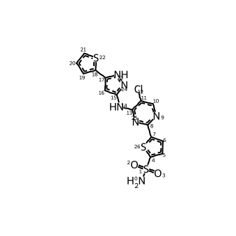 NS(=O)(=O)c1ccc(-c2ncc(Cl)c(Nc3cc(-c4cccs4)[nH]n3)n2)s1